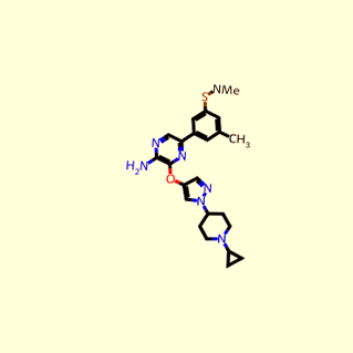 CNSc1cc(C)cc(-c2cnc(N)c(Oc3cnn(C4CCN(C5CC5)CC4)c3)n2)c1